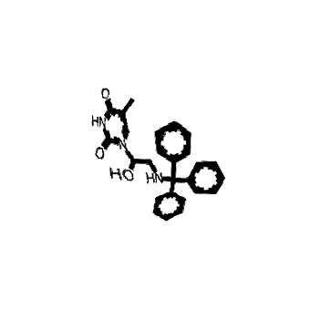 Cc1cn(C(O)CNC(c2ccccc2)(c2ccccc2)c2ccccc2)c(=O)[nH]c1=O